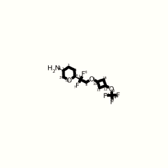 N[C@@H]1CC[C@@H](C(F)(F)COC2CC(OC(F)(F)F)C2)OC1